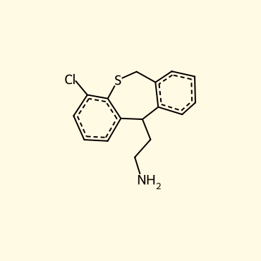 NCCC1c2ccccc2CSc2c(Cl)cccc21